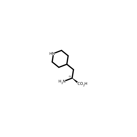 N[C@@H](CC1CCNCC1)C(=O)O